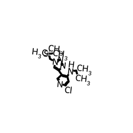 CC(C)Nc1cc(Cl)ncc1-c1cn(C[Si](C)(C)C)nn1